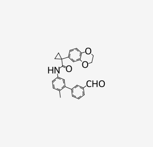 Cc1ccc(NC(=O)C2(c3ccc4c(c3)OCCO4)CC2)cc1-c1cccc(C=O)c1